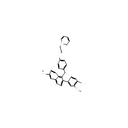 COc1ccc2c(Cc3ccc(OCCN4C=CC=CC4)cc3)c(-c3ccc(Cl)c(OC)c3)ccc2c1